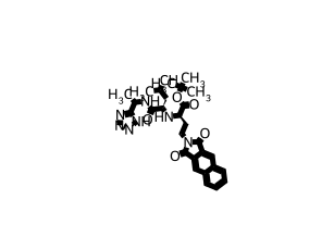 CC(C)C[C@H](N[C@H](CCN1C(=O)c2cc3ccccc3cc2C1=O)C(=O)OC(C)(C)C)C(=O)NC(C)c1nnn[nH]1